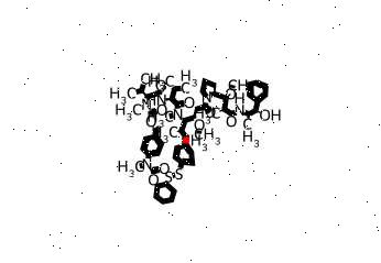 CC[C@H](C)[C@@H]([C@@H](CC(=O)N1CCC[C@H]1[C@H](OC)[C@@H](C)C(=O)N[C@H](C)[C@@H](O)c1ccccc1)OC)N(C)C(=O)[C@@H](NC(=O)[C@H](C(C)C)N(C)C(=O)OCc1ccc(N(C)C(=O)O[C@H]2CCCC[C@@H]2SSc2ccccc2)cc1)C(C)C